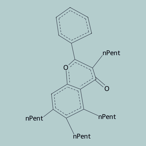 CCCCCc1cc2oc(-c3ccccc3)c(CCCCC)c(=O)c2c(CCCCC)c1CCCCC